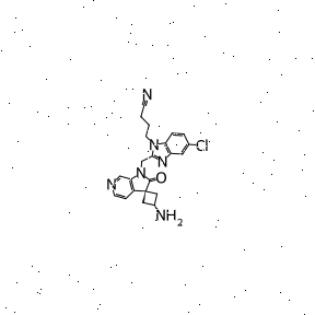 N#CCCCn1c(CN2c3cnccc3[C@]3(C[C@H](N)C3)C2=O)nc2cc(Cl)ccc21